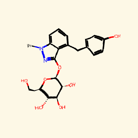 CC(C)n1nc(O[C@@H]2O[C@H](CO)[C@@H](O)[C@H](O)[C@H]2O)c2c(Cc3ccc(O)cc3)cccc21